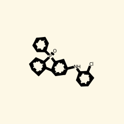 O=P1(c2ccccc2)c2ccccc2-c2ccc(Nc3ccccc3Cl)cc21